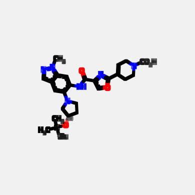 Cn1ncc2cc(N3CC[C@H](O[Si](C)(C)C(C)(C)C)C3)c(NC(=O)c3coc(C4=CCN(C(=O)O)CC4)n3)cc21